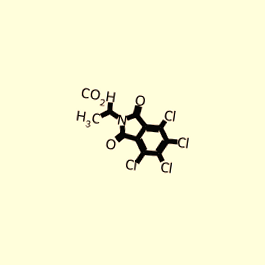 CC(C(=O)O)N1C(=O)c2c(Cl)c(Cl)c(Cl)c(Cl)c2C1=O